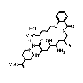 CCN(C(=O)C(CC(O)C(N)CC(CNC(=O)c1ccccc1OCCCCOC)C(C)C)C(C)C)N1CCC(C(=O)OC)CC1.Cl